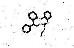 CCOC(=Nc1ccccc1Cl)OCC(c1ccccc1)c1ccccc1